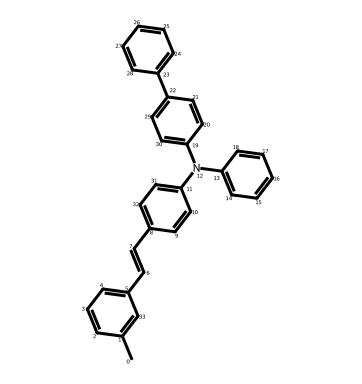 Cc1cccc(/C=C/c2ccc(N(c3ccccc3)c3ccc(-c4ccccc4)cc3)cc2)c1